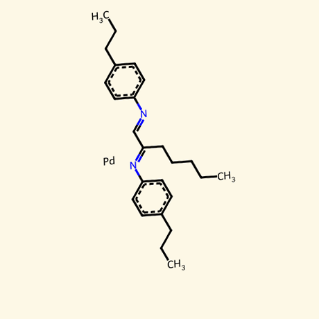 CCCCCC(/C=N/c1ccc(CCC)cc1)=N\c1ccc(CCC)cc1.[Pd]